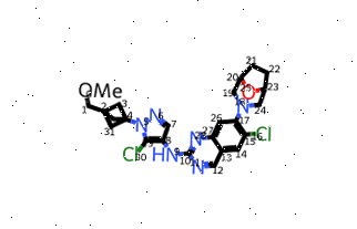 COCC12CC(n3ncc(Nc4ncc5cc(Cl)c(N6CC7CCC(C6)O7)cc5n4)c3Cl)(C1)C2